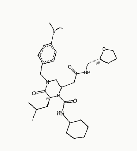 CC(C)C[C@H]1C(=O)N(Cc2ccc(N(C)C)cc2)CC(CC(=O)NC[C@H]2CCCO2)N1C(=O)NC1CCCCC1